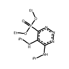 CCOP(=O)(OCC)c1nnnc(NC(C)C)c1NC(C)C